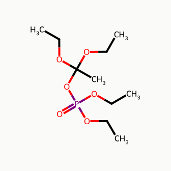 CCOC(C)(OCC)OP(=O)(OCC)OCC